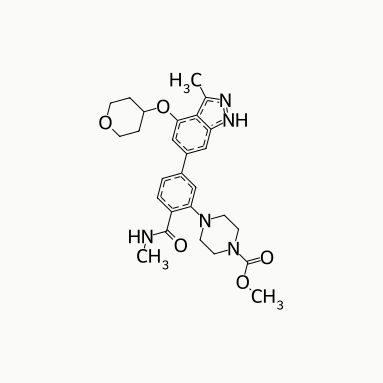 CNC(=O)c1ccc(-c2cc(OC3CCOCC3)c3c(C)n[nH]c3c2)cc1N1CCN(C(=O)OC)CC1